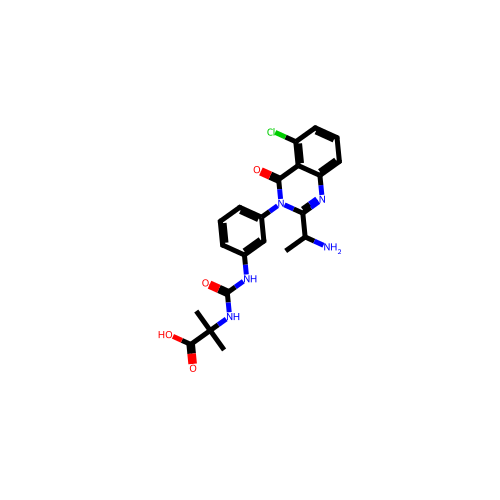 CC(N)c1nc2cccc(Cl)c2c(=O)n1-c1cccc(NC(=O)NC(C)(C)C(=O)O)c1